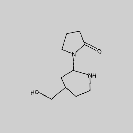 O=C1CCCN1C1CC(CO)CCN1